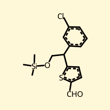 C[Si](C)(C)OCC(c1cccc(Cl)c1)c1ccc(C=O)s1